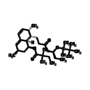 CC[C@@H](CC(=O)CC[C@@H]1[C@@H]2C(=C[C@H](C)C[C@@H]2OC(=O)C(C)(C)CC)C=C[C@@H]1C)O[Si](C)(C)C(C)(C)C